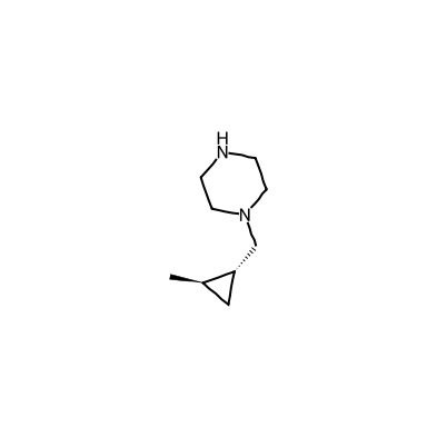 C[C@@H]1C[C@H]1CN1CCNCC1